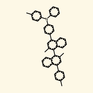 Cc1ccc(-c2cc(C)c(-c3c(C)cc(-c4ccc(N(c5ccccc5)c5ccc(C)cc5)cc4)c4ccccc34)c3ccccc23)cc1